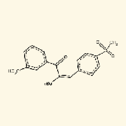 [CH2]CCCC(=Cc1ccc(S(C)(=O)=O)cc1)C(=O)c1cccc(C(=O)O)c1